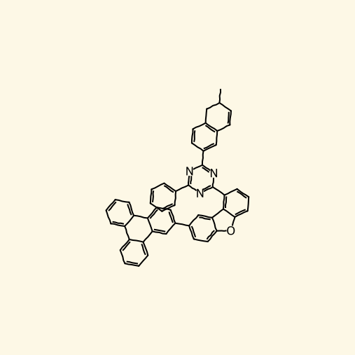 CC1C=Cc2cc(-c3nc(-c4ccccc4)nc(-c4cccc5oc6ccc(-c7ccc8c9ccccc9c9ccccc9c8c7)cc6c45)n3)ccc2C1